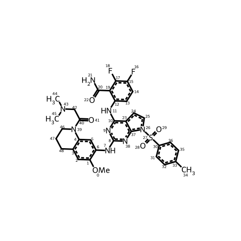 COc1cc2c(cc1Nc1nc(Nc3ccc(F)c(F)c3C(N)=O)c3ccn(S(=O)(=O)c4ccc(C)cc4)c3n1)N(C(=O)CN(C)C)CCC2